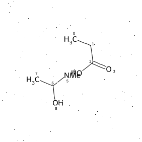 CCC(=O)O.CNC(C)O